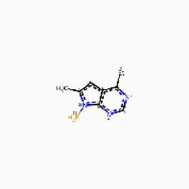 CCc1ncnc2c1cc(C)n2P